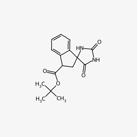 CC(C)(C)OC(=O)C1CC2(NC(=O)NC2=O)c2ccccc21